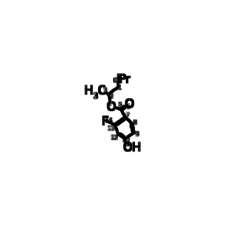 CC(C)CC(C)OC(=O)c1ccc(O)cc1F